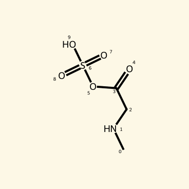 CNCC(=O)OS(=O)(=O)O